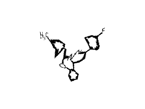 Cc1ccc(C2Oc3ccccc3C3CC(c4ccc(F)cc4)=NN32)cc1